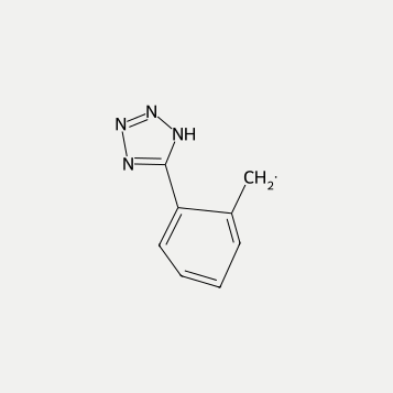 [CH2]c1ccccc1-c1nnn[nH]1